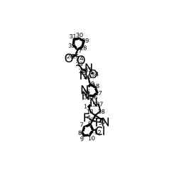 N#CC1(C(F)(F)c2ccccc2Cl)CCN(c2ccc(-c3nc(COC(=O)c4ccccc4)no3)nn2)CC1